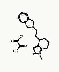 Cn1ncc2c1CCCC2CCN1Cc2ccccc2C1.O=C(O)C(=O)O